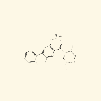 C[C@@H]1CN(C2=NS(=O)(=O)Nc3nc(-c4ccccc4F)c(Cl)cc32)[C@@H](C)CN1